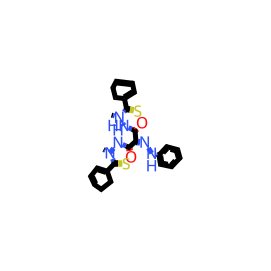 CN(NC(=O)C(=NNc1ccccc1)C(=O)NN(C)C(=S)C1=CC=CCC1)C(=S)C1=CC=CCC1